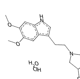 COc1cc2[nH]cc(CCN3CCC(O)C3)c2cc1OC.Cl.O